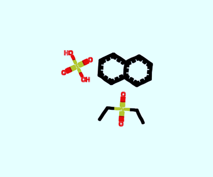 CCS(=O)(=O)CC.O=S(=O)(O)O.c1ccc2ccccc2c1